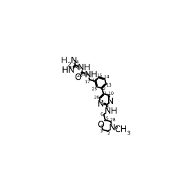 CN1CCOC(CNc2ncc(-c3cccc(CNC(=O)NC(=N)N)c3)cn2)C1